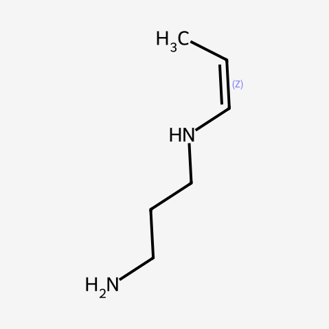 C/C=C\NCCCN